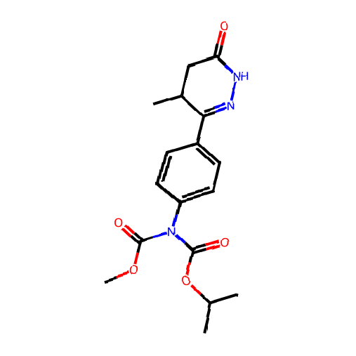 COC(=O)N(C(=O)OC(C)C)c1ccc(C2=NNC(=O)CC2C)cc1